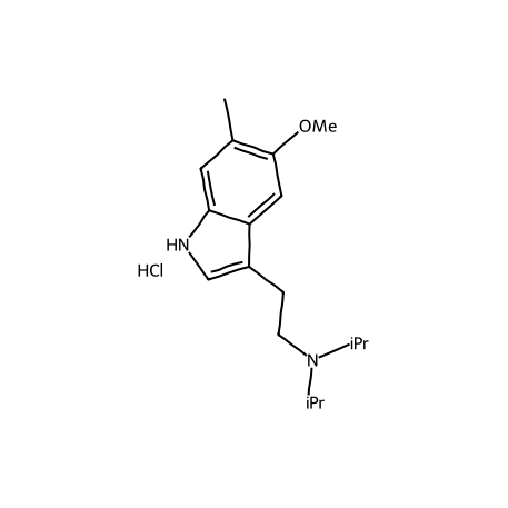 COc1cc2c(CCN(C(C)C)C(C)C)c[nH]c2cc1C.Cl